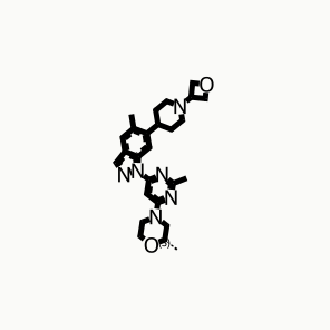 Cc1nc(N2CCO[C@@H](C)C2)cc(-n2ncc3cc(C)c(C4CCN(C5COC5)CC4)cc32)n1